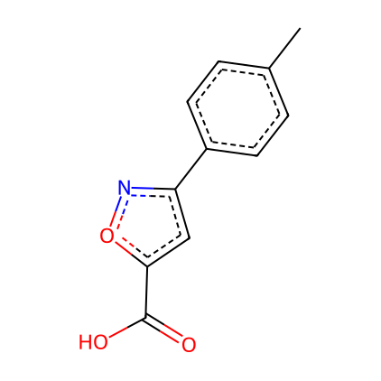 Cc1ccc(-c2cc(C(=O)O)on2)cc1